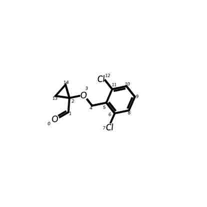 O=CC1(OCc2c(Cl)cccc2Cl)CC1